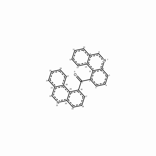 O=C(c1cccc2ncc3ccccc3c12)c1cccc2ncc3ccccc3c12